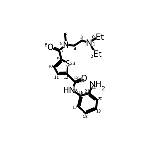 CCN(CC)CCN(C)C(=O)c1ccc(C(=O)Nc2ccccc2N)s1